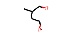 CC(C[O])CC[O]